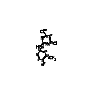 Fc1ccc(Nc2nc(Cl)cc(Cl)n2)cc1C(F)(F)F